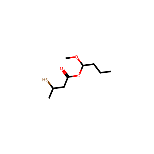 CCCC(OC)OC(=O)CC(C)S